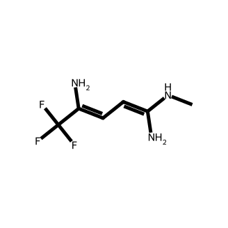 CN/C(N)=C/C=C(\N)C(F)(F)F